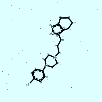 Fc1ccc(N2CCN(CCCc3onc4c3CCCC4)CC2)cc1